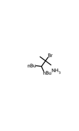 CCCCC(CCCC)C(C)(C)Br.N